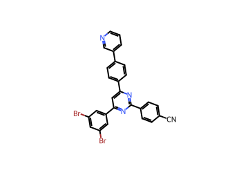 N#Cc1ccc(-c2nc(-c3ccc(-c4cccnc4)cc3)cc(-c3cc(Br)cc(Br)c3)n2)cc1